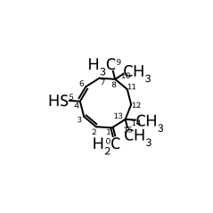 C=C1/C=C\C(S)=C/CC(C)(C)CCC1(C)C